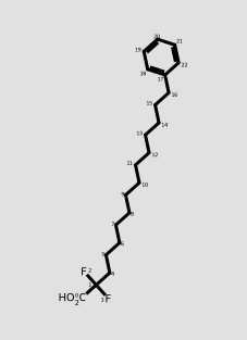 O=C(O)C(F)(F)CCCCCCCCCCCCCc1ccccc1